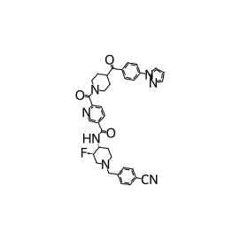 N#Cc1ccc(CN2CC[C@@H](NC(=O)c3ccc(C(=O)N4CCC(C(=O)c5ccc(-n6cccn6)cc5)CC4)nc3)[C@H](F)C2)cc1